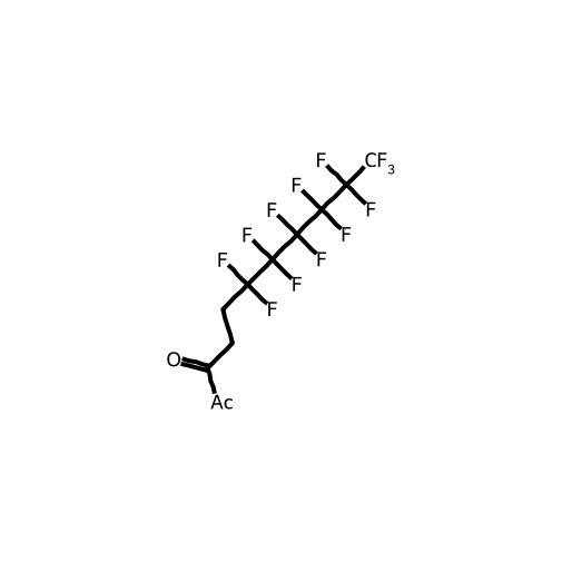 [CH2]C(=O)C(=O)CCC(F)(F)C(F)(F)C(F)(F)C(F)(F)C(F)(F)C(F)(F)F